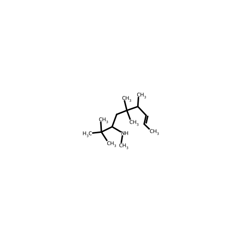 CC=CC(C)C(C)(C)CC(NC)C(C)(C)C